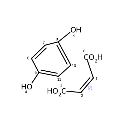 O=C(O)/C=C\C(=O)O.Oc1ccc(O)cc1